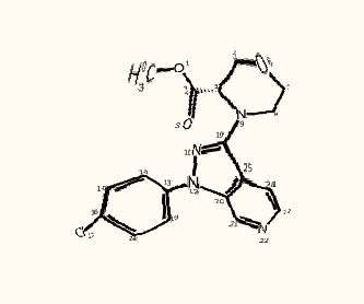 COC(=O)[C@@H]1COCCN1c1nn(-c2ccc(Cl)cc2)c2cnccc12